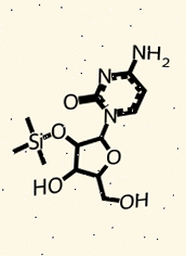 C[Si](C)(C)OC1C(O)C(CO)OC1n1ccc(N)nc1=O